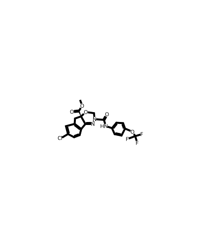 COC(=O)[C@]12Cc3cc(Cl)ccc3C1=NN(C(=O)Nc1ccc(OC(F)(F)F)cc1)CO2